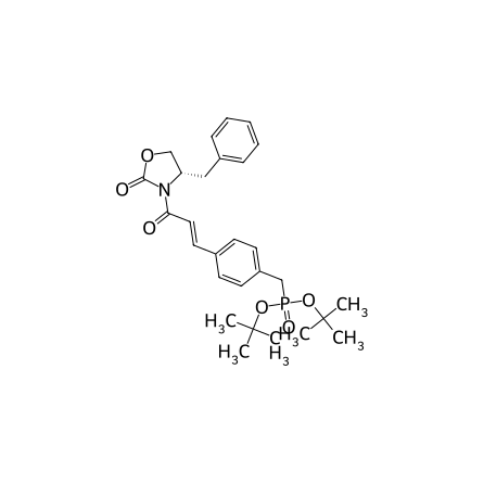 CC(C)(C)OP(=O)(Cc1ccc(C=CC(=O)N2C(=O)OC[C@@H]2Cc2ccccc2)cc1)OC(C)(C)C